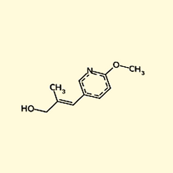 COc1ccc(/C=C(\C)CO)cn1